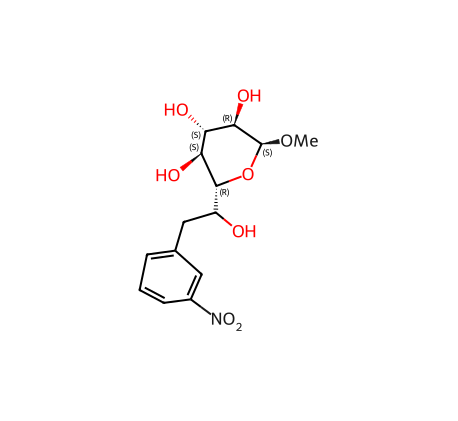 CO[C@H]1O[C@H](C(O)Cc2cccc([N+](=O)[O-])c2)[C@@H](O)[C@H](O)[C@H]1O